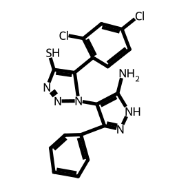 Nc1[nH]nc(-c2ccccc2)c1-n1nnc(S)c1-c1ccc(Cl)cc1Cl